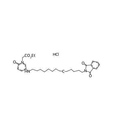 CCOC(=O)Cn1cc(NCCCCCCCCCCCCCCN2C(=O)c3ccccc3C2=O)ccc1=O.Cl